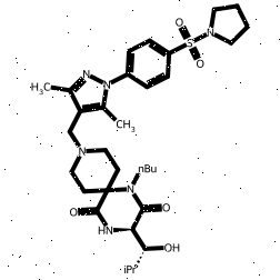 CCCCN1C(=O)[C@@H]([C@H](O)C(C)C)NC(=O)C12CCN(Cc1c(C)nn(-c3ccc(S(=O)(=O)N4CCCC4)cc3)c1C)CC2